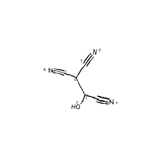 N#CC(O)C(C#N)C#N